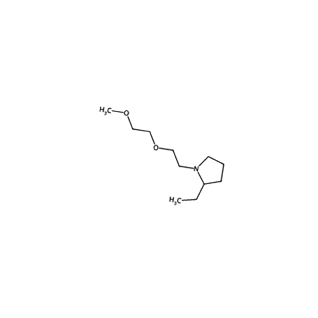 CCC1CCCN1CCOCCOC